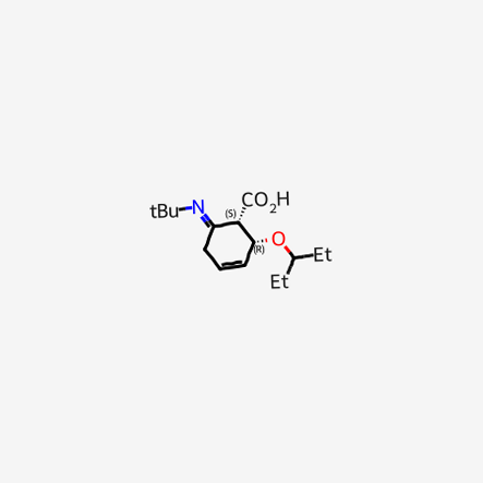 CCC(CC)O[C@@H]1C=CCC(=NC(C)(C)C)[C@@H]1C(=O)O